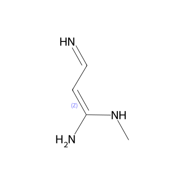 CN/C(N)=C\C=N